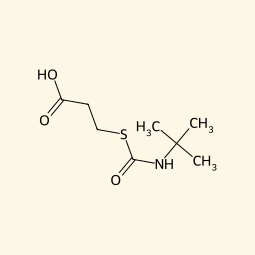 CC(C)(C)NC(=O)SCCC(=O)O